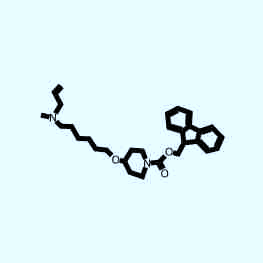 C=CCN(C)CCCCCCOC1CCN(C(=O)OCC2c3ccccc3-c3ccccc32)CC1